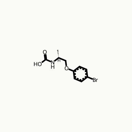 C[C@H](COc1ccc(Br)cc1)NC(=O)O